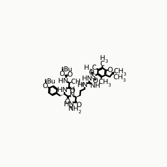 Cc1c(C)c(S(=O)(=O)NC(=N)NCCC[C@H](NC(=O)[C@H](Cc2ccc(OC(C)(C)C)cc2)NC(=O)[C@H](C)NC(=O)OC(C)(C)C)C(=O)NN)c(C)c2c1OC(C)(C)C2